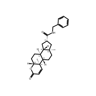 C[C@]12CC[C@H]3[C@@H](CC[C@H]4OC(=O)C=C[C@@]43C)[C@@H]1C[C@H](C(=O)NCc1ccccc1)C2